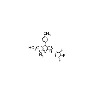 Cc1ccc(-c2c(CC(=O)O)c(C)nc3c2ccn3Cc2cc(F)c(F)c(F)c2)cc1